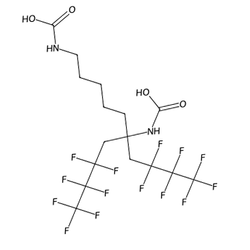 O=C(O)NCCCCCC(CC(F)(F)C(F)(F)C(F)(F)F)(CC(F)(F)C(F)(F)C(F)(F)F)NC(=O)O